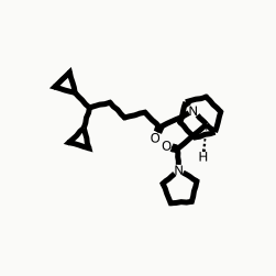 O=C([C@@H]1C2CCC(CC2)N1C(=O)CCCC(C1CC1)C1CC1)N1CCCC1